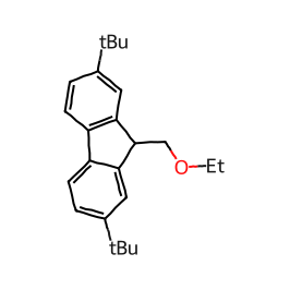 CCOCC1c2cc(C(C)(C)C)ccc2-c2ccc(C(C)(C)C)cc21